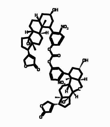 C[C@]12C(c3cc(OC(=O)Oc4ccc([N+](=O)[O-])c(C5C[C@H](O)C[C@H]6CC[C@@H]7[C@H](CC[C@]8(C)[C@@H](C9=CC(=O)OC9)CC[C@]78O)[C@@]56C)c4)ccc3[N+](=O)[O-])C[C@H](O)C[C@H]1CC[C@@H]1[C@@H]2CC[C@]2(C)[C@@H](C3=CC(=O)OC3)CC[C@]12O